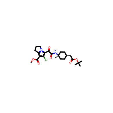 COC(=O)c1c(Cl)c(C(=O)C(=O)N[C@]2(C)CC[C@@H](CC(=O)OC(C)(C)C)CC2)n2c1CCC2